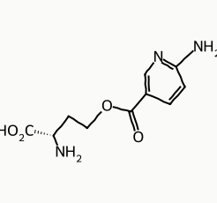 Nc1ccc(C(=O)OCC[C@H](N)C(=O)O)cn1